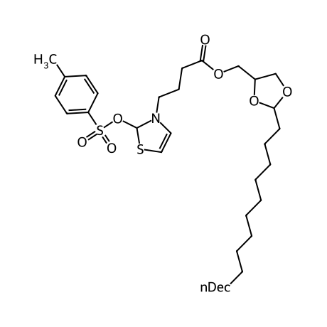 CCCCCCCCCCCCCCCCCCCC1OCC(COC(=O)CCCN2C=CSC2OS(=O)(=O)c2ccc(C)cc2)O1